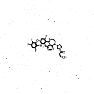 N#C/C=C\C(=O)N1CCC([C@@H]2CCN=C(c3ccc(Oc4c(F)c(F)cc(F)c4F)cc3F)c3c(N)ncnc32)C1